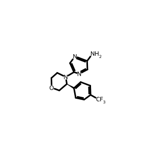 Nc1cnc(N2CCOC[C@@H]2c2ccc(C(F)(F)F)cc2)cn1